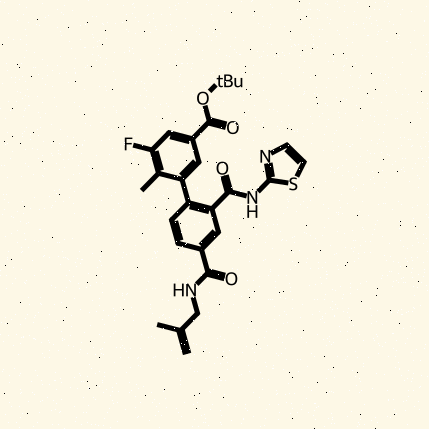 C=C(C)CNC(=O)c1ccc(-c2cc(C(=O)OC(C)(C)C)cc(F)c2C)c(C(=O)Nc2nccs2)c1